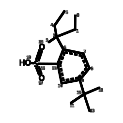 CCC(C)(CC)c1ccc(C(C)(C)C)cc1S(=O)(=O)O